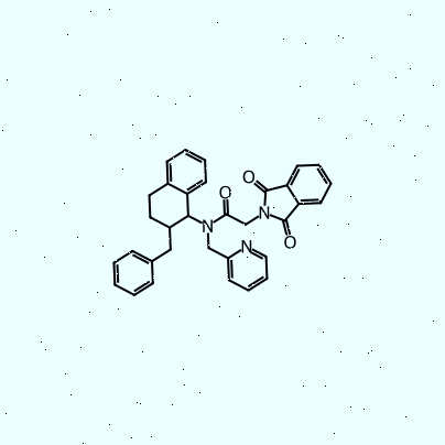 O=C1c2ccccc2C(=O)N1CC(=O)N(Cc1ccccn1)C1c2ccccc2CCC1Cc1ccccc1